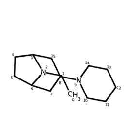 CCN1C2CCC1CC(N1CCCCC1)C2